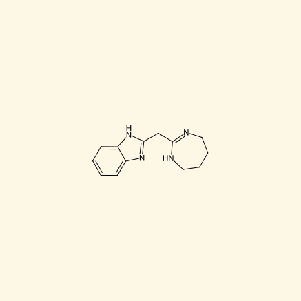 c1ccc2[nH]c(CC3=NCCCCN3)nc2c1